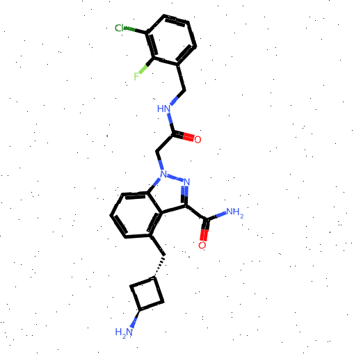 NC(=O)c1nn(CC(=O)NCc2cccc(Cl)c2F)c2cccc(C[C@H]3C[C@H](N)C3)c12